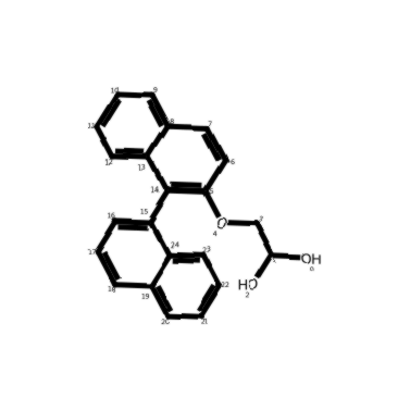 OC(O)COc1ccc2ccccc2c1-c1cccc2ccccc12